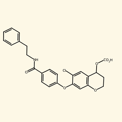 O=C(O)OC1CCOc2cc(Oc3ccc(C(=O)NCCc4ccccc4)cc3)c(Cl)cc21